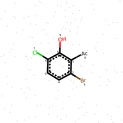 CC(=O)c1c(Br)ccc(Cl)c1O